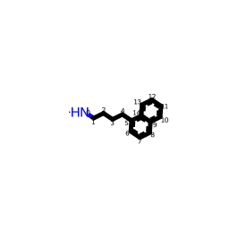 [NH]CCCCc1cccc2ccccc12